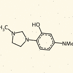 CNc1ccc(N2CCN(C)C2)c(O)c1